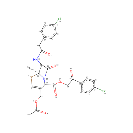 CC(=O)OCC1=CS[C@H]2C(NC(=O)Cc3ccc(Cl)cc3)C(=O)N2C1C(=O)OCC(=O)c1ccc(Br)cc1